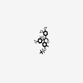 COc1ccc(C2(O)c3ccc(O[Si](C)(C)C(C)(C)C)c(C)c3OCC2c2ccc(OC)c(OC)c2)cc1